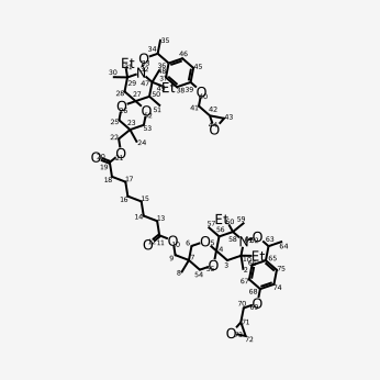 CCC1(C)CC2(OCC(C)(COC(=O)CCCCCCC(=O)OCC3(C)COC4(CC(C)(CC)N(OC(C)c5ccc(OCC6CO6)cc5)C(C)(CC)C4C)OC3)CO2)C(C)C(C)(CC)N1OC(C)c1ccc(OCC2CO2)cc1